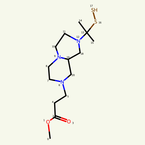 COC(=O)CCN1CCN2CCN(C(C)(C)SS)CC2C1